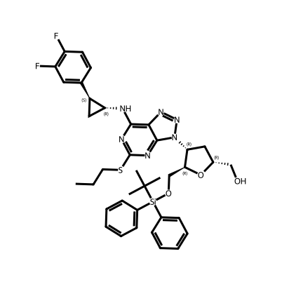 CCCSc1nc(N[C@@H]2C[C@H]2c2ccc(F)c(F)c2)c2nnn([C@@H]3C[C@H](CO)O[C@H]3CO[Si](c3ccccc3)(c3ccccc3)C(C)(C)C)c2n1